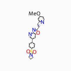 COc1ccnc(/C=C/c2nc3ncc(-c4ccc(S(=O)(=O)N5CCC5)cc4)cc3o2)c1